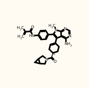 C=C(C)C(=O)Nc1ccc(-c2c(C3=CC[C@H](C(=O)N4CC5CC5C4)CC3)c3c(N)ncnc3n2C)cc1